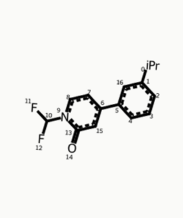 CC(C)c1cccc(-c2ccn(C(F)F)c(=O)c2)c1